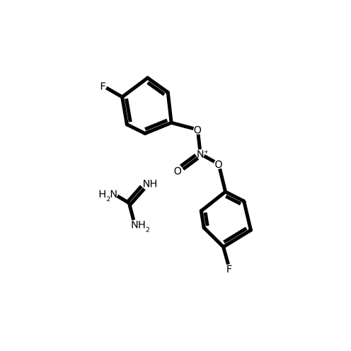 N=C(N)N.O=[N+](Oc1ccc(F)cc1)Oc1ccc(F)cc1